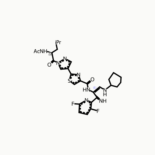 CC(=O)N[C@@H](CC(C)C)C(=O)n1cc(-c2nc(C(=O)N/C(=C/NC3CCCCC3)C(=N)c3nc(F)ccc3F)cs2)cn1